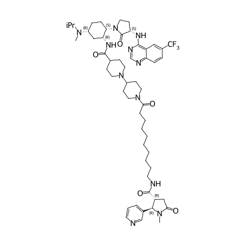 CC(C)N(C)[C@@H]1CC[C@H](N2CC[C@H](Nc3ncnc4ccc(C(F)(F)F)cc34)C2=O)[C@H](NC(=O)C2CCN(C3CCN(C(=O)CCCCCCCCCNC(=O)[C@@H]4CC(=O)N(C)[C@H]4c4cccnc4)CC3)CC2)C1